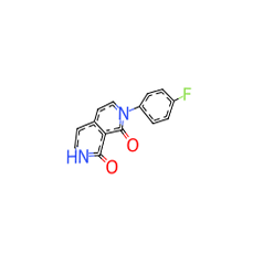 O=c1[nH]ccc2ccn(-c3ccc(F)cc3)c(=O)c12